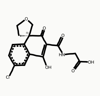 O=C(O)CNC(=O)C1=C(O)c2cc(Cl)ccc2[C@]2(CCOC2)C1=O